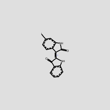 O=C1Nc2cc(I)ccc2/C1=C1/Nc2ccccc2C1=O